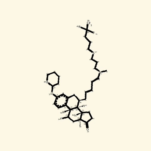 CN(CCCCC[C@@H]1Cc2cc(OC3CCCCO3)ccc2[C@H]2C(F)C[C@]3(C)C(=O)CC[C@H]3[C@H]12)CCCSCCCC(F)(F)C(F)(F)F